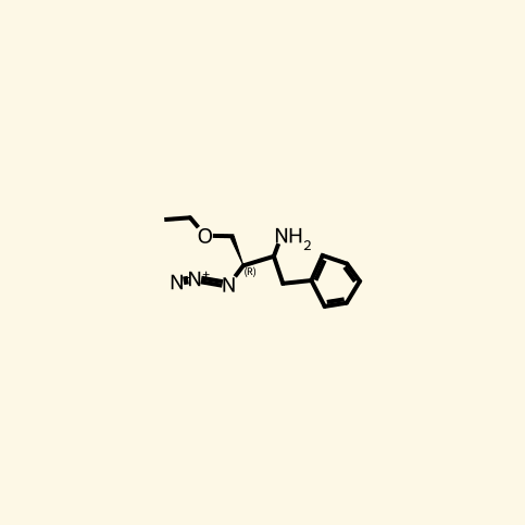 CCOC[C@H](N=[N+]=[N-])C(N)Cc1ccccc1